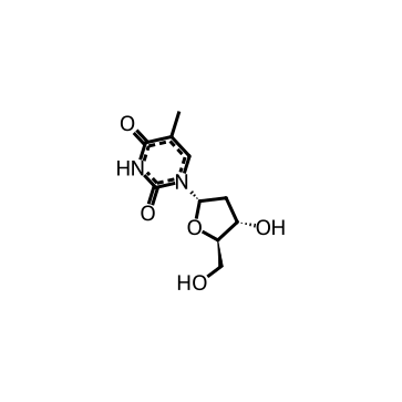 Cc1cn([C@@H]2C[C@H](O)[C@@H](CO)O2)c(=O)[nH]c1=O